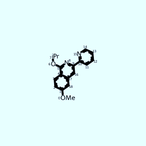 COc1ccc2c(OC(C)C)nc(-c3ccccn3)cc2c1